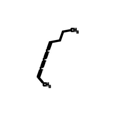 CC=C=C=C=CCCC